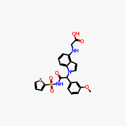 COc1cccc(C(C(=O)NS(=O)(=O)c2cccs2)n2ccc3c(NCC(=O)O)cccc32)c1